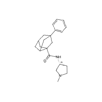 CN1CC[C@@H](NC(=O)C23CC4CC2CC(c2ccccc2)(C4)C3)C1